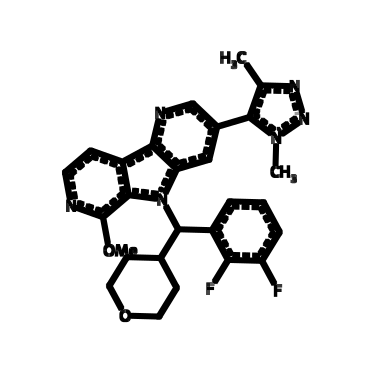 COc1nccc2c3ncc(-c4c(C)nnn4C)cc3n(C(c3cccc(F)c3F)C3CCOCC3)c12